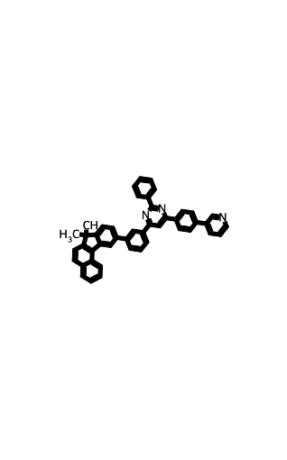 CC1(C)c2ccc(-c3cccc(-c4cc(-c5ccc(-c6cccnc6)cc5)nc(-c5ccccc5)n4)c3)cc2-c2c1ccc1ccccc21